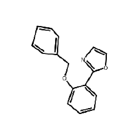 c1ccc(COc2ccccc2-c2ncco2)cc1